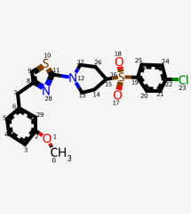 COc1cccc(Cc2csc(N3CCC(S(=O)(=O)c4ccc(Cl)cc4)CC3)n2)c1